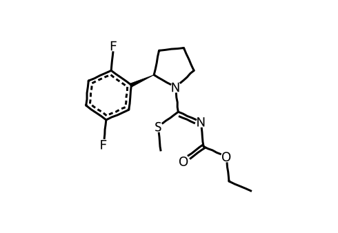 CCOC(=O)/N=C(\SC)N1CCC[C@@H]1c1cc(F)ccc1F